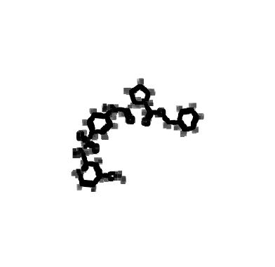 Cc1ccnc(NS(=O)(=O)c2ccc(NC(=O)[C@@H]3CCCN3C(=O)OCc3ccccc3)cc2)c1